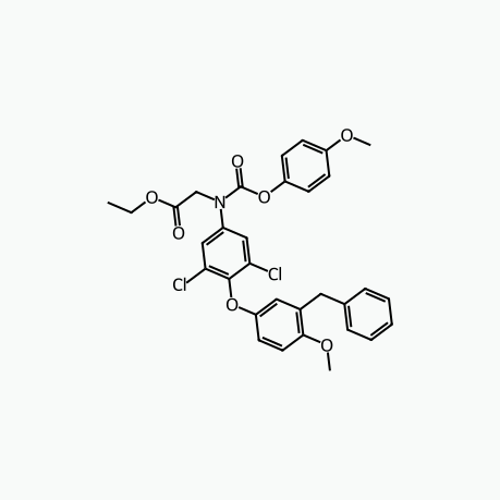 CCOC(=O)CN(C(=O)Oc1ccc(OC)cc1)c1cc(Cl)c(Oc2ccc(OC)c(Cc3ccccc3)c2)c(Cl)c1